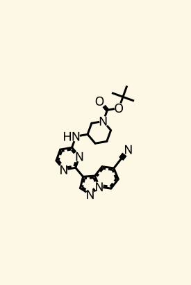 CC(C)(C)OC(=O)N1CCCC(Nc2ccnc(-c3cnn4ccc(C#N)cc34)n2)C1